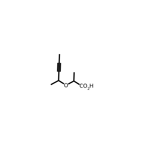 CC#CC(C)OC(C)C(=O)O